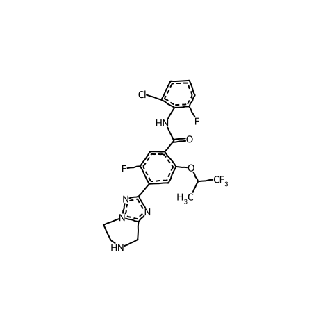 CC(Oc1cc(-c2nc3n(n2)CCNC3)c(F)cc1C(=O)Nc1c(F)cccc1Cl)C(F)(F)F